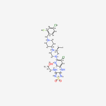 CC[C@H]1CN(c2ncc(NC3=NS(=O)(=O)N=C3NC[C@H](C)O)cc2Cl)CCN1C1CCN(Cc2ccc(Cl)cc2F)CC1